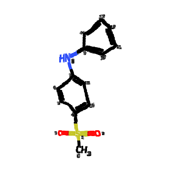 CS(=O)(=O)c1ccc(Nc2ccccc2)cc1